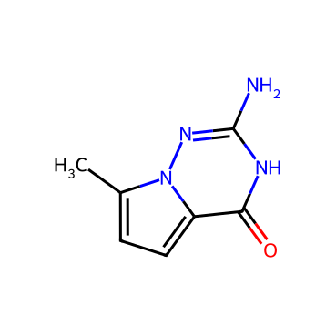 Cc1ccc2c(=O)[nH]c(N)nn12